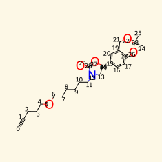 C#CCCCOCCCCCCN1C[C@@H](c2ccc3c(c2)COC(C)(C)O3)OC1=O